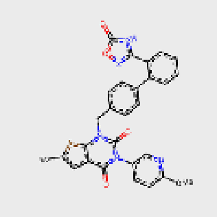 CCc1cc2c(=O)n(-c3ccc(OC)nc3)c(=O)n(Cc3ccc(-c4ccccc4-c4noc(=O)[nH]4)cc3)c2s1